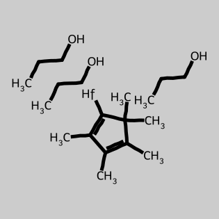 CC1=C(C)C(C)(C)[C]([Hf])=C1C.CCCO.CCCO.CCCO